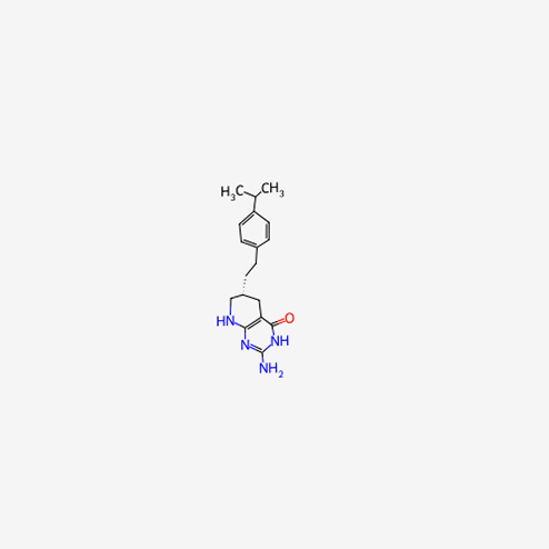 CC(C)c1ccc(CC[C@H]2CNc3nc(N)[nH]c(=O)c3C2)cc1